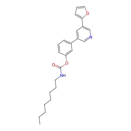 CCCCCCCCNC(=O)Oc1cccc(-c2cncc(-c3ccco3)c2)c1